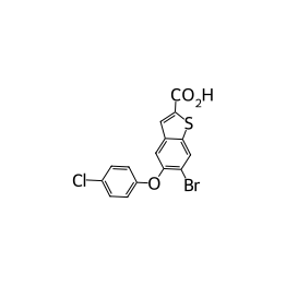 O=C(O)c1cc2cc(Oc3ccc(Cl)cc3)c(Br)cc2s1